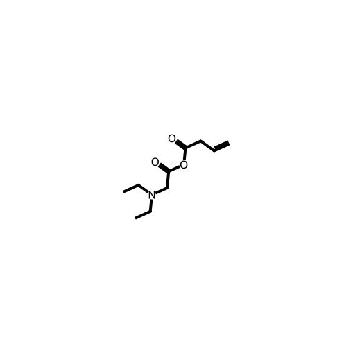 C=CCC(=O)OC(=O)CN(CC)CC